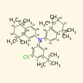 CC(C)(C)c1cc(Cl)cc(N(c2ccc3c(c2)C(C)(C)CCC3(C)C)c2ccc3c(c2)C(C)(C)CCC3(C)C)c1